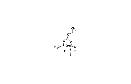 CCOP(OCC)OS(=O)(=O)C(F)(F)F